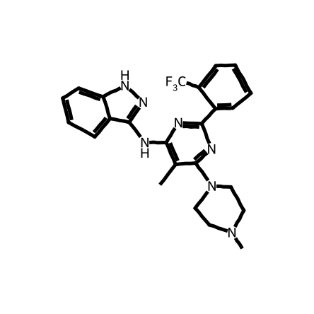 Cc1c(Nc2n[nH]c3ccccc23)nc(-c2ccccc2C(F)(F)F)nc1N1CCN(C)CC1